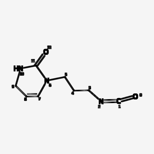 O=C=NCCCN1C=CCNC1=O